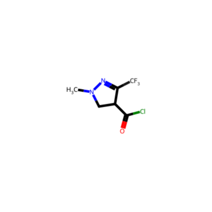 CN1CC(C(=O)Cl)C(C(F)(F)F)=N1